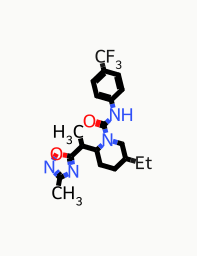 CCC1CCC(C(C)c2nc(C)no2)N(C(=O)Nc2ccc(C(F)(F)F)cc2)C1